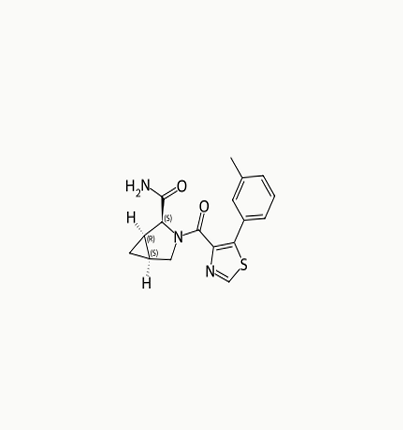 Cc1cccc(-c2scnc2C(=O)N2C[C@H]3C[C@H]3[C@H]2C(N)=O)c1